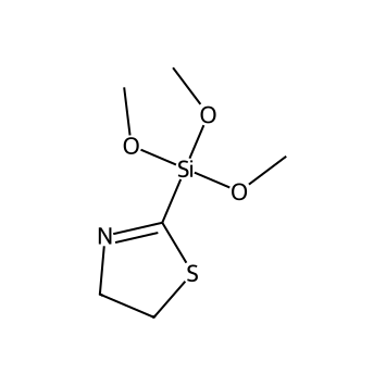 CO[Si](OC)(OC)C1=NCCS1